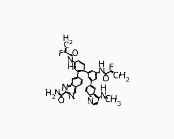 C=C(F)C(=O)Nc1cc(-c2ccc3nccc(NC)c3c2)cc(-c2ccc(NC(=O)C(=C)F)cc2-c2ccc3cnc(C(N)=O)nc3c2)c1